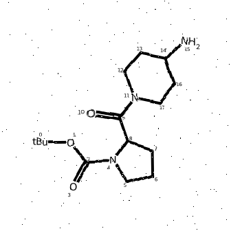 CC(C)(C)OC(=O)N1CCCC1C(=O)N1CCC(N)CC1